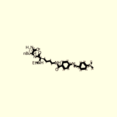 CCCC[C@H](NC(=O)[C@@H](CCCCNC(=O)c1ccc(/N=N/c2ccc(N(C)C)cc2)cc1)NCC)C(N)=O